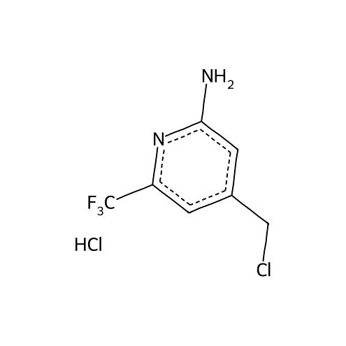 Cl.Nc1cc(CCl)cc(C(F)(F)F)n1